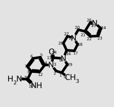 CC1CN(c2cccc(C(=N)N)c2)C(=O)N(C2CCN(Cc3cccnc3)CC2)C1